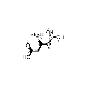 O=C(O)CC(=O)OB(O)O.[NaH]